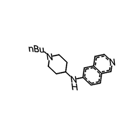 CCCCN1CCC(Nc2ccc3cnccc3c2)CC1